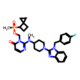 CN(c1nccc(=O)n1COP(C)(=O)C1CCC12CC2)C1CCN(c2nc3ccccc3n2Cc2ccc(F)cc2)CC1